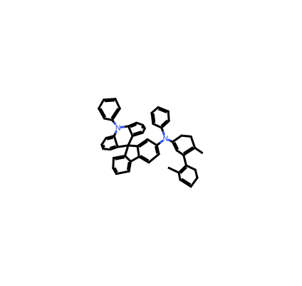 CC1=C(C2=C(C)CCC(N(c3ccccc3)c3ccc4c(c3)C3(c5ccccc5-4)c4ccccc4N(c4ccccc4)c4ccccc43)=C2)CCC=C1